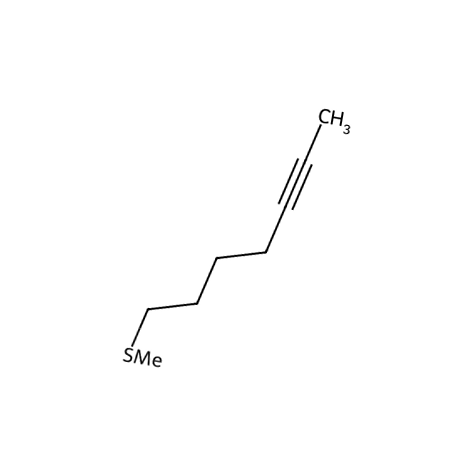 CC#CCCCCSC